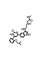 CC(C)COc1ccccc1-c1cc(-c2ccc3[nH]nc(NCCNCC(=O)N(C)C)c3c2)nc(=O)[nH]1